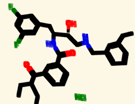 CCc1cccc(CNC[C@@H](O)[C@H](Cc2cc(F)cc(F)c2)NC(=O)c2cccc(C(=O)C(CC)CC)c2)c1.Cl